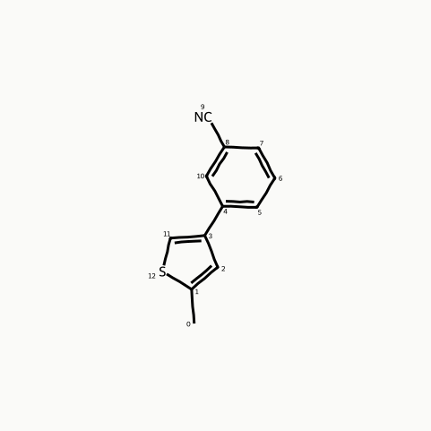 Cc1cc(-c2cccc(C#N)c2)cs1